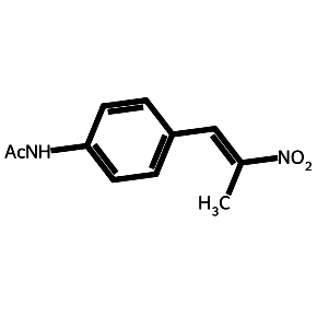 CC(=O)Nc1ccc(/C=C(\C)[N+](=O)[O-])cc1